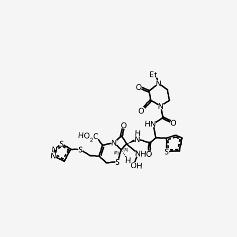 CCN1CCN(C(=O)NC(C(=O)N[C@]2(NO)C(=O)N3C(C(=O)O)=C(CSc4cnns4)CS[C@@H]32)c2cccs2)C(=O)C1=O